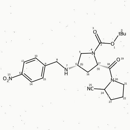 CC(C)(C)OC(=O)N1C[C@@H](NCc2ccc([N+](=O)[O-])cc2)C[C@H]1C(=O)N1CCCC1C#N